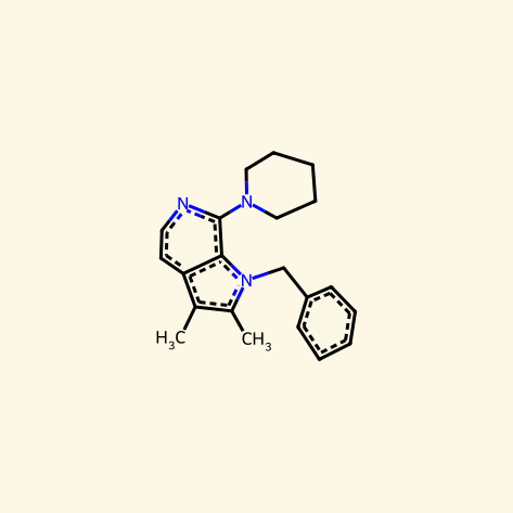 Cc1c(C)n(Cc2ccccc2)c2c(N3CCCCC3)nccc12